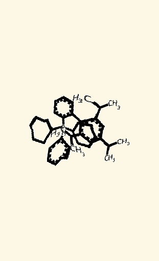 CC(C)c1cc(C(C)C)c(-c2ccccc2[PH](c2ccccc2)(C2CCCCC2)C2CCCCC2)c(C(C)C)c1